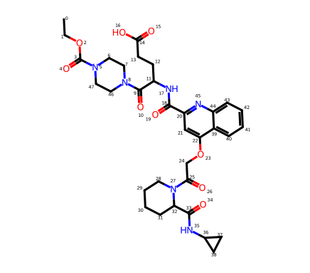 CCOC(=O)N1CCN(C(=O)C(CCC(=O)O)NC(=O)c2cc(OCC(=O)N3CCCCC3C(=O)NC3CC3)c3ccccc3n2)CC1